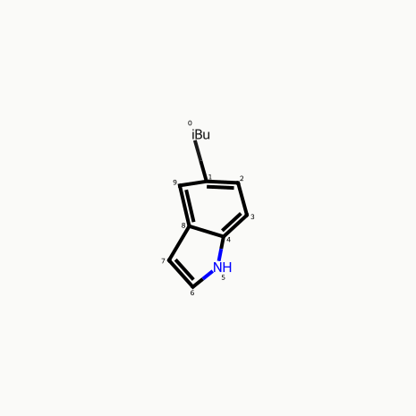 CCC(C)c1ccc2[nH]ccc2c1